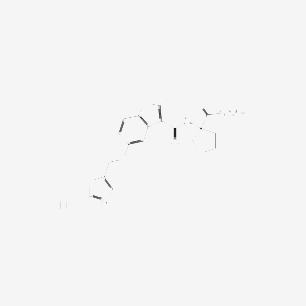 CNC(=O)C1(NC(=O)c2c(C)sc3ccc(OCc4cnc(C)s4)cc23)CCOC1